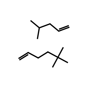 C=CCC(C)C.C=CCCC(C)(C)C